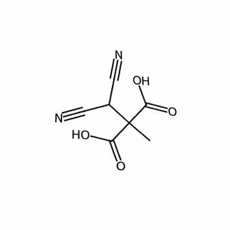 CC(C(=O)O)(C(=O)O)C(C#N)C#N